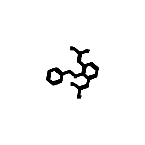 BrC(Br)=Cc1cccc(C=C(Br)Br)c1OCc1ccccc1